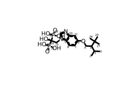 CC(C)C(COc1ccc2c(c1)ncn2CC(O)(P(=O)(O)O)P(=O)(O)O)C(C)(C)C